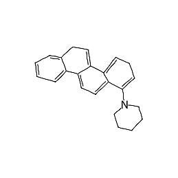 C1=C(N2CCCCC2)c2ccc3c(c2=CC1)=CCc1ccccc1-3